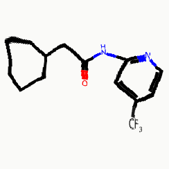 O=C(CC1CCCCC1)Nc1cc(C(F)(F)F)ccn1